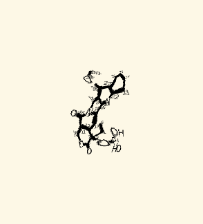 CC[C@@]1(O[PH](=O)O)C(=O)OCc2c1cc1n(c2=O)Cc2c-1nc1ccccc1c2OC